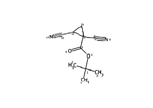 CC(C)(C)OC(=O)C1(C#N)CC1C#N